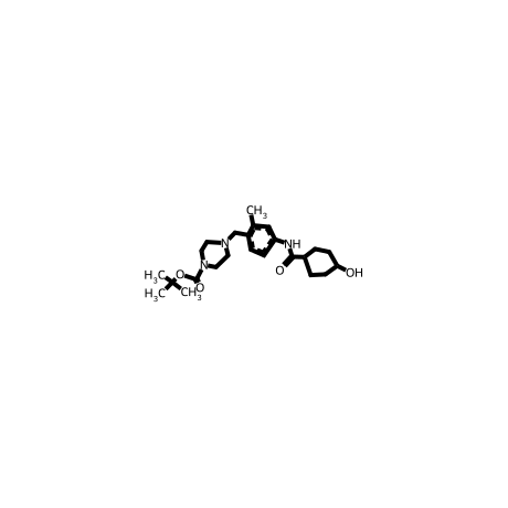 Cc1cc(NC(=O)C2CCC(O)CC2)ccc1CN1CCN(C(=O)OC(C)(C)C)CC1